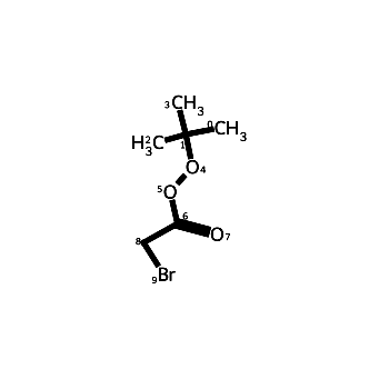 CC(C)(C)OOC(=O)CBr